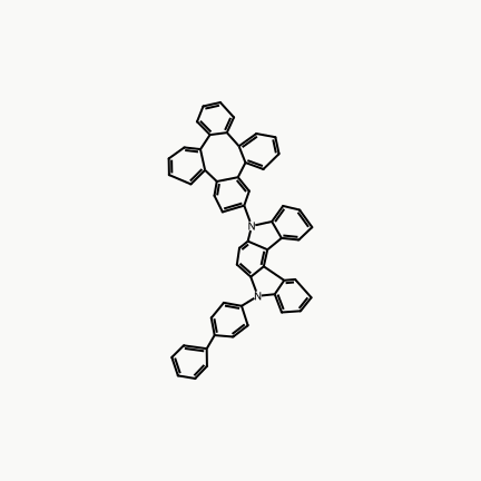 c1ccc(-c2ccc(-n3c4ccccc4c4c5c6ccccc6n(-c6ccc7c(c6)-c6ccccc6-c6ccccc6-c6ccccc6-7)c5ccc43)cc2)cc1